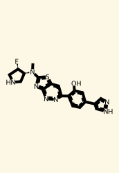 CN(c1nc2nnc(-c3ccc(-c4cn[nH]c4)cc3O)cc2s1)[C@@H]1CNC[C@@H]1F